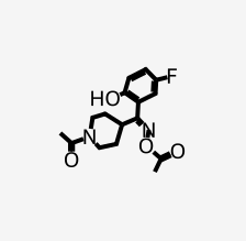 CC(=O)ON=C(c1cc(F)ccc1O)C1CCN(C(C)=O)CC1